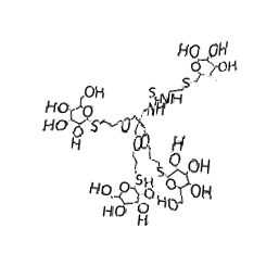 C[C@@H]1C(CSCCNC(=S)NCC(COCCCS[C@H]2OC(CO)[C@@H](O)C(O)[C@H]2O)(COCCCS[C@H]2OC(CO)[C@@H](O)C(O)[C@H]2O)COCCCS[C@H]2OC(CO)[C@@H](O)C(O)[C@H]2O)O[C@H](O)[C@@H](O)C1O